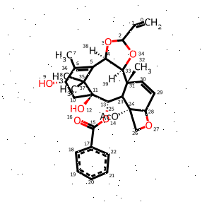 C=CC1O[C@@H]2C3=C(C)[C@@H](O)C[C@@](O)([C@@H](OC(=O)c4ccccc4)C4[C@]5(OC(C)=O)COC5C=C[C@@]4(C)[C@@H]2O1)C3(C)C